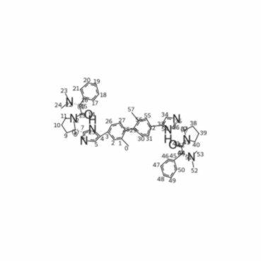 Cc1cc(-c2cnc([C@@H]3CCCN3C(=O)[C@@H](c3ccccc3)N(C)C)[nH]2)ccc1-c1ccc(-c2cnc([C@@H]3CCCN3C(=O)[C@@H](c3ccccc3)N(C)C)[nH]2)cc1C